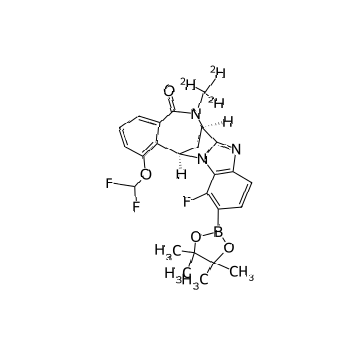 [2H]C([2H])([2H])N1C(=O)c2cccc(OC(F)F)c2[C@H]2C[C@@H]1c1nc3ccc(B4OC(C)(C)C(C)(C)O4)c(F)c3n12